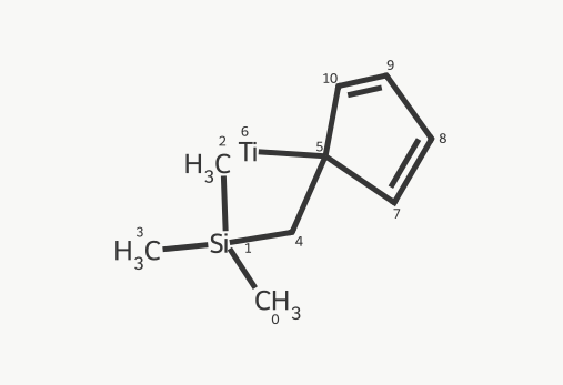 C[Si](C)(C)C[C]1([Ti])C=CC=C1